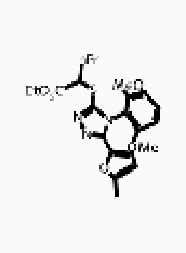 CCCC(Sc1nnc(-c2ccc(C)o2)n1-c1c(OC)cccc1OC)C(=O)OCC